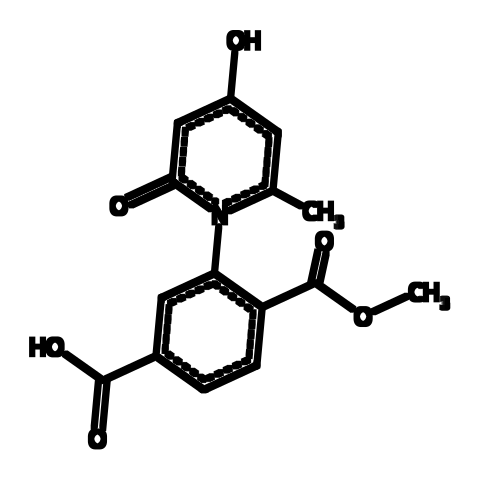 COC(=O)c1ccc(C(=O)O)cc1-n1c(C)cc(O)cc1=O